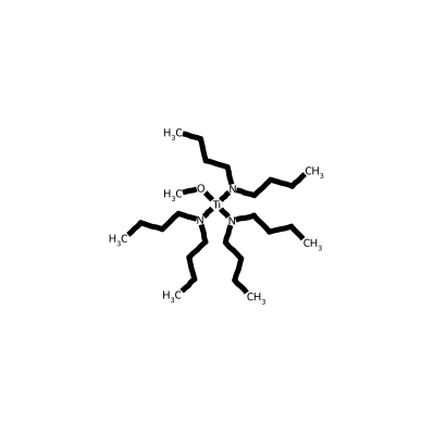 CCCC[N](CCCC)[Ti]([O]C)([N](CCCC)CCCC)[N](CCCC)CCCC